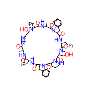 CC(C)CC1NC(=O)C(Cc2ccccc2)N(C)C(=O)C(C)NC(=O)C(C(C)C)N(C)C(O)CCNC(=O)C(C)NC(=O)C(C(C)C)NC(=O)C(Cc2ccccc2)N(C)C(=O)C2CCCNN2C(=O)C(CO)N(C)C1=O